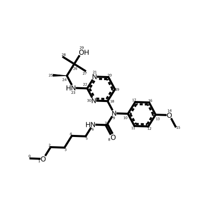 COCCCCNC(=O)N(c1ccc(OC)cc1)c1ccnc(N[C@@H](C)C(C)(C)O)n1